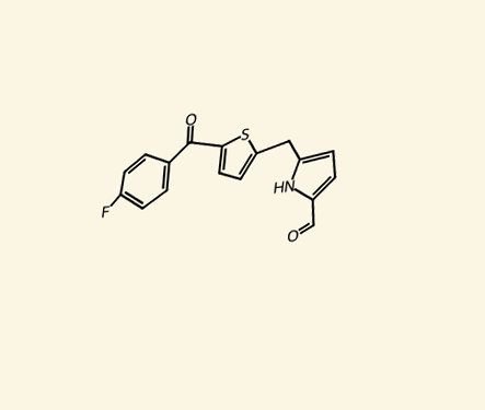 O=Cc1ccc(Cc2ccc(C(=O)c3ccc(F)cc3)s2)[nH]1